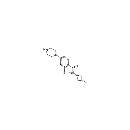 CN1CC(NC(=O)c2ccc(N3CCNCC3)cc2F)C1